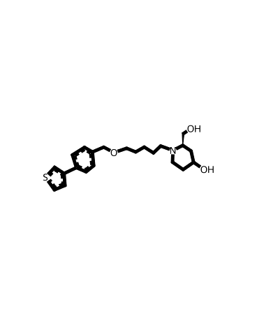 OC[C@H]1CC(O)CCN1CCCCCOCc1ccc(-c2ccsc2)cc1